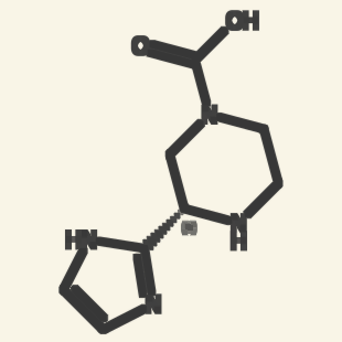 O=C(O)N1CCN[C@H](c2ncc[nH]2)C1